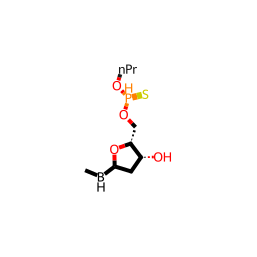 CBC1C[C@@H](O)[C@@H](CO[PH](=S)OCCC)O1